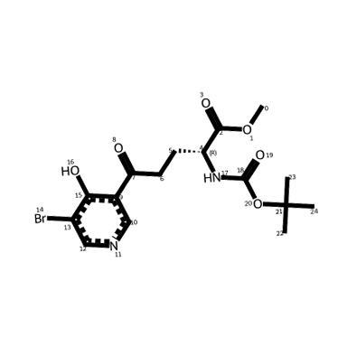 COC(=O)[C@@H](CCC(=O)c1cncc(Br)c1O)NC(=O)OC(C)(C)C